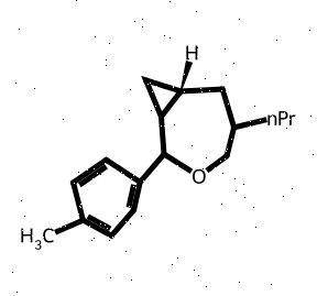 CCCC1COC(c2ccc(C)cc2)C2C[C@@H]2C1